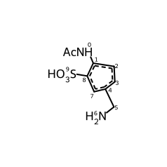 CC(=O)Nc1ccc(CN)cc1S(=O)(=O)O